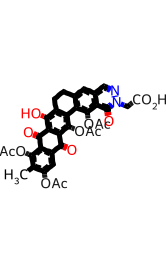 CC(=O)Oc1cc2c(c(OC(C)=O)c1C)C(=O)c1c(O)c3c(c(OC(C)=O)c1C2=O)-c1c(cc2cnn(CC(=O)O)c(=O)c2c1OC(C)=O)CC3